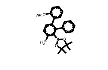 COc1ccccc1-c1ccc(P)c(B2OC(C)(C)C(C)(C)O2)c1-c1ccccc1